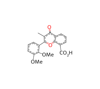 COc1cccc(-c2oc3c(C(=O)O)cccc3c(=O)c2C)c1OC